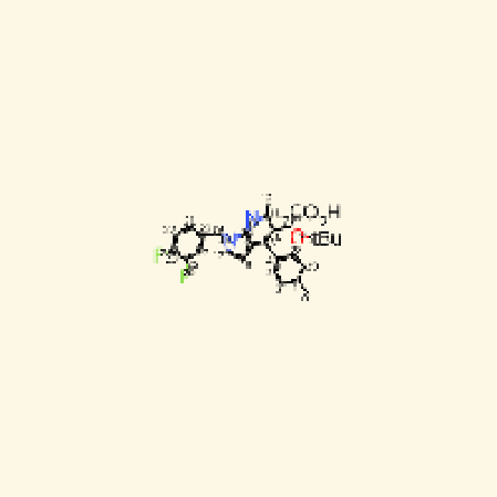 Cc1ccc(-c2c(C(OC(C)(C)C)C(=O)O)c(C)nc3c2ccn3Cc2ccc(F)c(F)c2)cc1